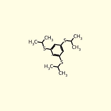 CC(C)Sc1[c]c(SC(C)C)cc(SC(C)C)c1